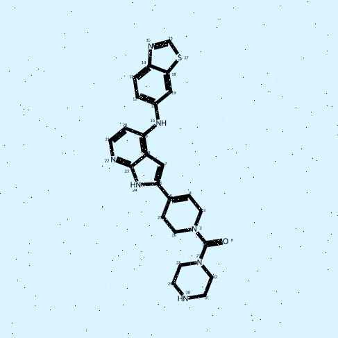 O=C(N1CC=C(c2cc3c(Nc4ccc5ncsc5c4)ccnc3[nH]2)CC1)N1CCNCC1